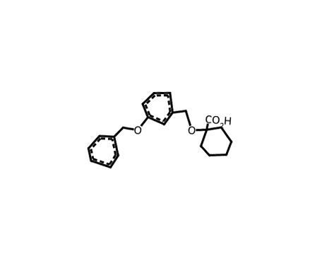 O=C(O)C1(OCc2cccc(OCc3ccccc3)c2)CCCCC1